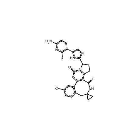 Nc1ccc(-c2cnc(C3CCc4c5c(cc(=O)n43)-c3cc(Cl)ccc3CC3(CC3)NC5=O)[nH]2)c(F)n1